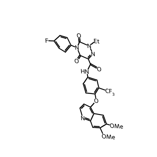 CCn1nc(C(=O)Nc2ccc(Oc3ccnc4cc(OC)c(OC)cc34)c(C(F)(F)F)c2)c(=O)n(-c2ccc(F)cc2)c1=O